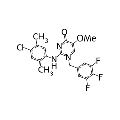 COc1cn(Cc2cc(F)c(F)c(F)c2)c(Nc2cc(C)c(Cl)cc2C)nc1=O